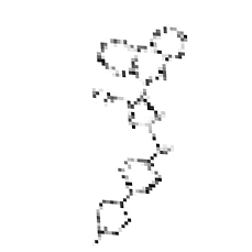 CN1CCC(c2ccc(Nc3nc(N)n(-c4nc5ccccc5c5ccccc45)n3)cc2)CC1